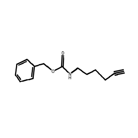 C#CCCCCNC(=O)OCc1ccccc1